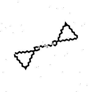 CCCCCCCCCC(CCCCCCCC1CC1CCCCCCCC)C1CCN(CCSSCCN2CCC(C(CCCCCCCCC)CCCCCCCC3CC3CCCCCCCC)CC2)CC1